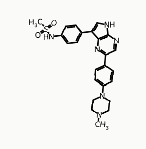 CN1CCN(c2ccc(-c3cnc4[nH]cc(-c5ccc(NS(C)(=O)=O)cc5)c4n3)cc2)CC1